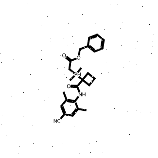 Cc1cc(C#N)cc(C)c1NC(=O)C1([PH](C)(C)CC(=O)OCc2ccccc2)CCC1